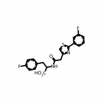 O=C(Cc1csc(-c2cccc(F)c2)n1)NC(Cc1ccc(F)cc1)C(=O)O